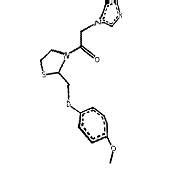 COc1ccc(OCC2SCCN2C(=O)Cn2ccnc2)cc1